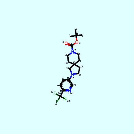 CC(C)(C)OC(=O)N1CCC2(CC1)CCN(c1ccc(C(F)(F)F)nc1)C2